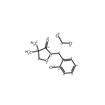 CC1(C)CON(Cc2ccccc2Cl)C1=O.ClCCl